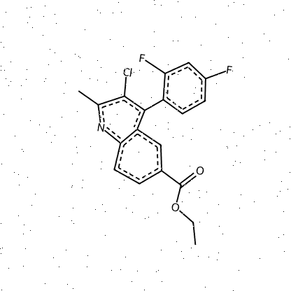 CCOC(=O)c1ccc2nc(C)c(Cl)c(-c3ccc(F)cc3F)c2c1